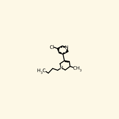 CCCCN1CC(c2cncc(Cl)c2)=CC(C)C1